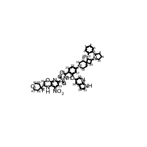 CC(C)c1ccccc1[C@H]1CCCN1C1CC2(CCN(c3ccc(C(=O)NS(=O)(=O)c4cc([N+](=O)[O-])c5c(n4)OC[C@H](C4(F)CCOCC4)N5)c(Oc4cnc5[nH]ccc5c4)c3)CC2)C1